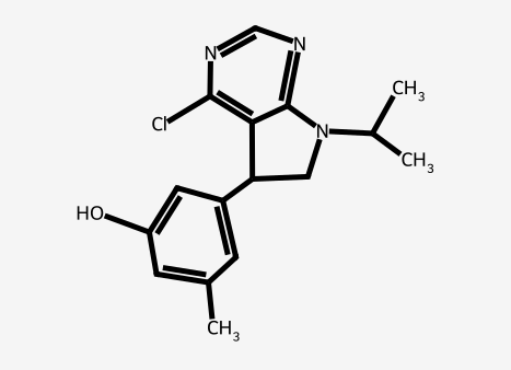 Cc1cc(O)cc(C2CN(C(C)C)c3ncnc(Cl)c32)c1